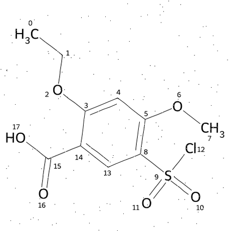 CCOc1cc(OC)c(S(=O)(=O)Cl)cc1C(=O)O